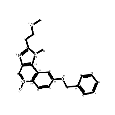 COCCc1nc2c[n+]([O-])c3ccc(OCc4ccccc4)cc3c2n1C